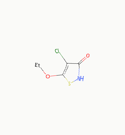 CCOc1s[nH]c(=O)c1Cl